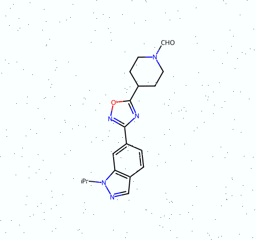 CC(C)n1ncc2ccc(-c3noc(C4CCN(C=O)CC4)n3)cc21